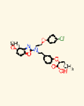 CCC(Oc1cccc(CCN(CCOc2ccc(Cl)cc2)c2nc3cc(OC)ccc3o2)c1)C(=O)O